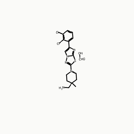 CC1(CN)CCN(c2nn3cc(-c4cccc(Cl)c4Cl)nc3s2)CC1.O=CO